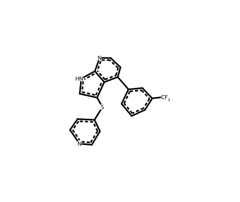 FC(F)(F)c1cccc(-c2ccnc3[nH]cc(Sc4ccncc4)c23)c1